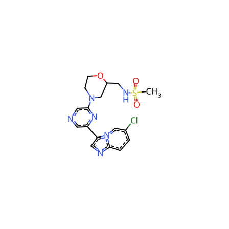 CS(=O)(=O)NCC1CN(c2cncc(-c3cnc4ccc(Cl)cn34)n2)CCO1